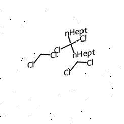 CCCCCCCC(Cl)(Cl)CCCCCCC.ClCCl.ClCCl